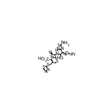 CCCO/N=C(/C(=O)NC1C(=O)N2C(C(=O)O)=C(CSc3nncs3)CS[C@H]12)c1nsc(N)n1